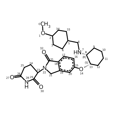 COC1CCC(CN[C@@H]2CCCC[C@@H]2Oc2ccc3c(c2)CN(C2CCC(=O)NC2=O)C3=O)CC1